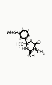 CSc1cccc([C@]2(C)CC(=O)N(C)C(=N)N2)c1